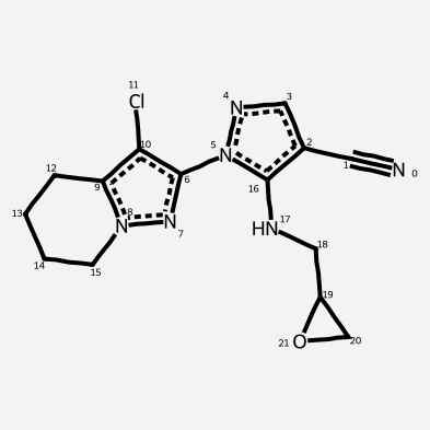 N#Cc1cnn(-c2nn3c(c2Cl)CCCC3)c1NCC1CO1